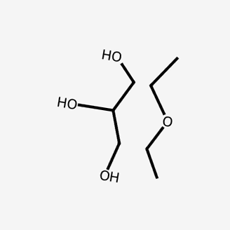 CCOCC.OCC(O)CO